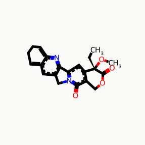 CC[C@@]1(OC)C(=O)OCc2c1cc1n(c2=O)Cc2cc3c(nc2-1)=CCCC=3